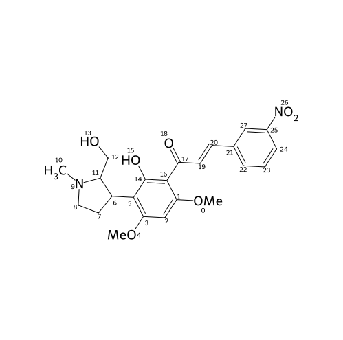 COc1cc(OC)c(C2CCN(C)C2CO)c(O)c1C(=O)C=Cc1cccc([N+](=O)[O-])c1